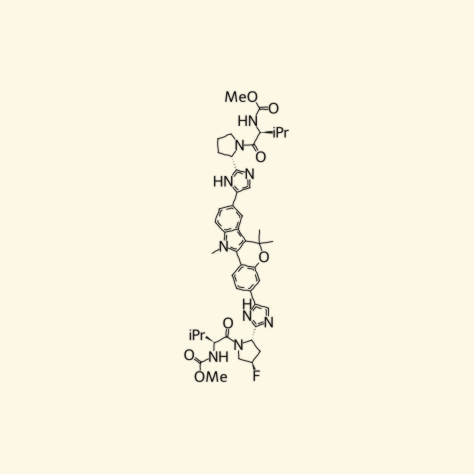 COC(=O)N[C@H](C(=O)N1CCC[C@H]1c1ncc(-c2ccc3c(c2)c2c(n3C)-c3ccc(-c4cnc([C@@H]5C[C@@H](F)CN5C(=O)[C@@H](NC(=O)OC)C(C)C)[nH]4)cc3OC2(C)C)[nH]1)C(C)C